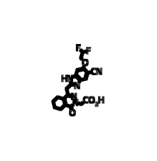 N#Cc1cc2nc(Cc3nn(CC(=O)O)c(=O)c4c3CCCC4)[nH]c2cc1OCC(F)F